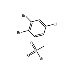 CS(=O)(=O)Br.Clc1ccc(Br)c(Br)c1